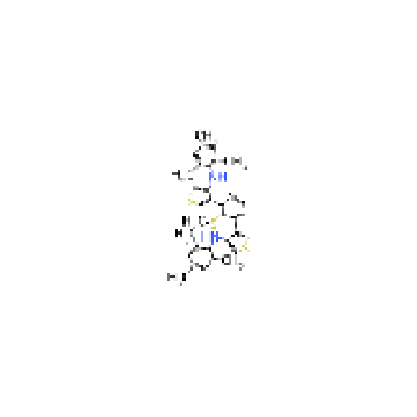 CSc1c(-c2cscc2Nc2c(C)cc(C)cc2C)cccc1-c1cscc1NC1C(C)=CC(C)=CC1C